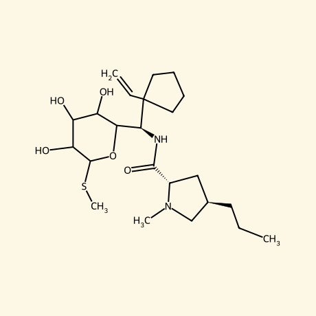 C=CC1([C@@H](NC(=O)[C@@H]2C[C@@H](CCC)CN2C)C2OC(SC)C(O)C(O)C2O)CCCC1